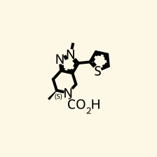 C[C@H]1Cc2nn(C)c(-c3cccs3)c2CN1C(=O)O